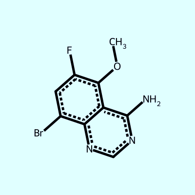 COc1c(F)cc(Br)c2ncnc(N)c12